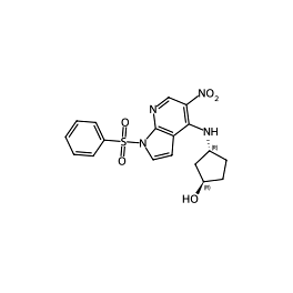 O=[N+]([O-])c1cnc2c(ccn2S(=O)(=O)c2ccccc2)c1N[C@@H]1CC[C@@H](O)C1